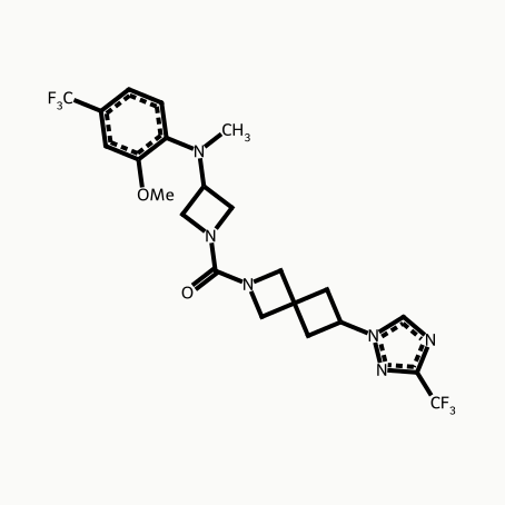 COc1cc(C(F)(F)F)ccc1N(C)C1CN(C(=O)N2CC3(CC(n4cnc(C(F)(F)F)n4)C3)C2)C1